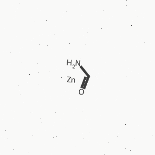 NC=O.[Zn]